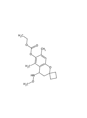 CCOC(=O)Oc1c(C)cc2c(c1C)C(NOC)CC1(CCC1)O2